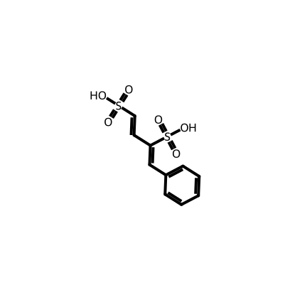 O=S(=O)(O)C=CC(=Cc1ccccc1)S(=O)(=O)O